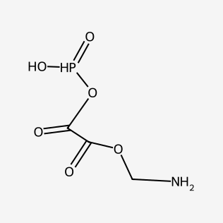 NCOC(=O)C(=O)O[PH](=O)O